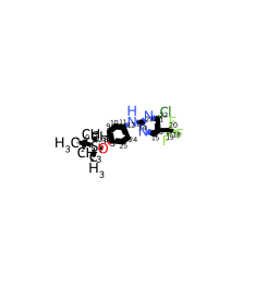 CC(C)(C)[Si](C)(C)Oc1ccc(Nc2ncc(C(F)(F)F)c(Cl)n2)cc1